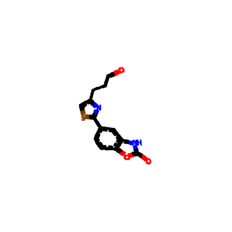 O=CCCc1csc(-c2ccc3oc(=O)[nH]c3c2)n1